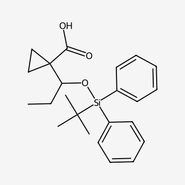 CCC(O[Si](c1ccccc1)(c1ccccc1)C(C)(C)C)C1(C(=O)O)CC1